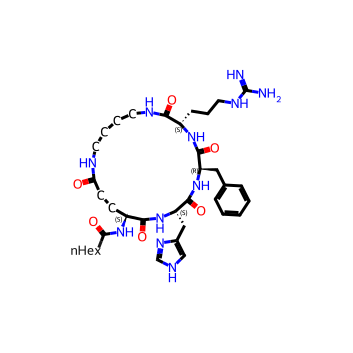 CCCCCCC(=O)N[C@H]1CCC(=O)NCCCCNC(=O)[C@H](CCCNC(=N)N)NC(=O)[C@@H](Cc2ccccc2)NC(=O)[C@H](Cc2c[nH]cn2)NC1=O